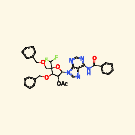 CC(=O)OC1C(n2cnc3c(NC(=O)c4ccccc4)ncnc32)OC(COCc2ccccc2)(C(F)F)C1OCc1ccccc1